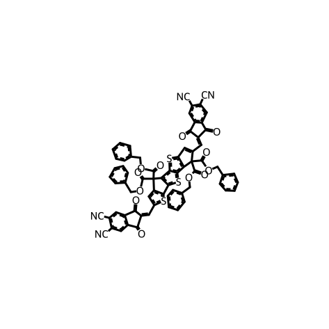 N#Cc1cc2c(cc1C#N)C(=O)C(=CC1=Cc3sc4c5c(sc4c3C1(C(=O)OCc1ccccc1)C(=O)OCc1ccccc1)-c1sc(C=C3C(=O)c4cc(C#N)c(C#N)cc4C3=O)cc1C5(C(=O)OCc1ccccc1)C(=O)OCc1ccccc1)C2=O